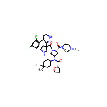 CN1CCN(C(=O)[C@@H]2C[C@H](N(C(=O)[C@@H]3CCCO3)C3CCC(C)(C)CC3)CN2C(=O)C2(C3=NNCC=C3c3ccc(F)cc3F)CCNC2)CC1